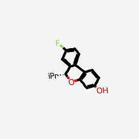 CC(C)[C@H]1Oc2cc(O)ccc2-c2ccc(F)cc21